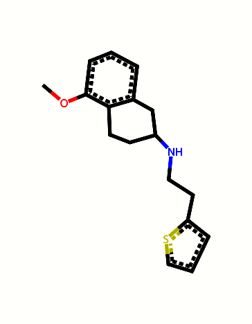 COc1cccc2c1CCC(NCCc1cccs1)C2